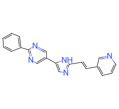 C(=Cc1ncc(-c2cnc(-c3ccccc3)nc2)[nH]1)c1cccnc1